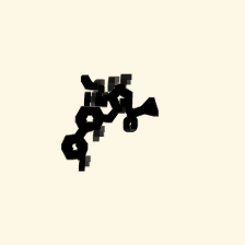 CCSN[C@@H]1[C@H](Cc2cccc(-c3cccc(F)c3)c2F)N(C(=O)C2CC2)CC1(F)F